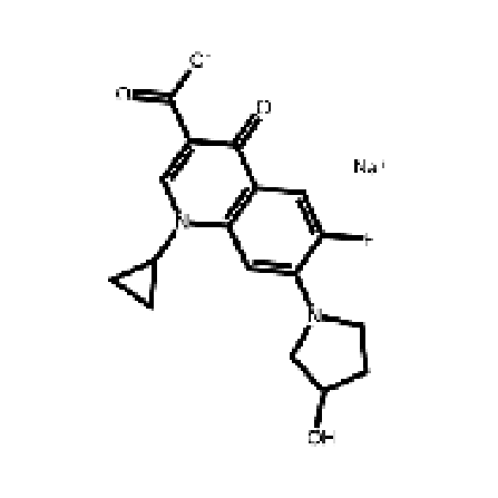 O=C([O-])c1cn(C2CC2)c2cc(N3CCC(O)C3)c(F)cc2c1=O.[Na+]